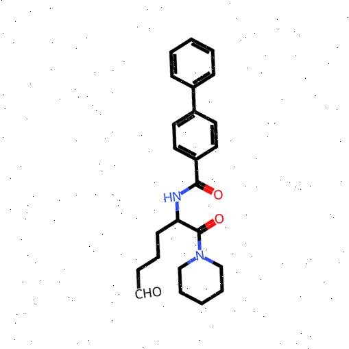 O=CCCCC(NC(=O)c1ccc(-c2ccccc2)cc1)C(=O)N1CCCCC1